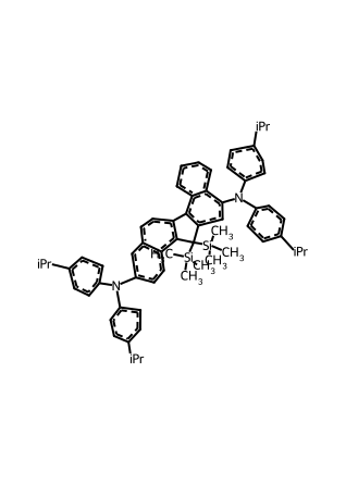 CC(C)c1ccc(N(c2ccc(C(C)C)cc2)c2ccc3c4c(ccc3c2)-c2c(cc(N(c3ccc(C(C)C)cc3)c3ccc(C(C)C)cc3)c3ccccc23)C4([Si](C)(C)C)[Si](C)(C)C)cc1